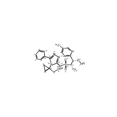 CCCO[C@@H](c1ncc(C)cn1)[C@H](C)S(=O)(=O)Nc1nnc(-c2ccccn2)n1C1(COC)CC1